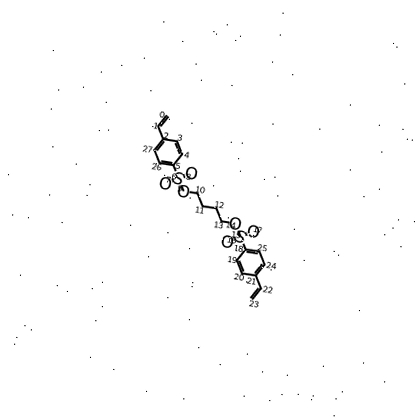 C=Cc1ccc(S(=O)(=O)OCCCCOS(=O)(=O)c2ccc(C=C)cc2)cc1